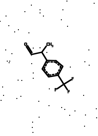 CC([C]=O)c1ccc(C(F)(F)F)cc1